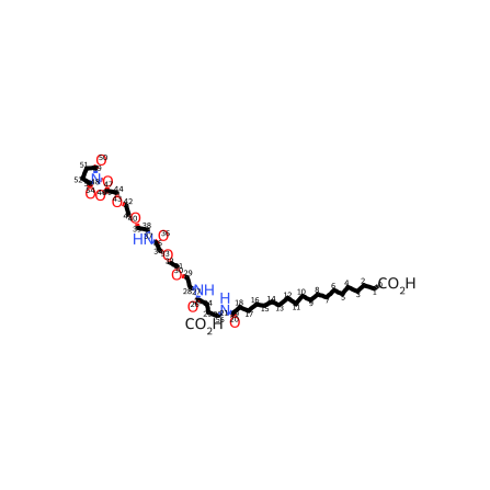 O=C(O)CCCCCCCCCCCCCCCCCCC(=O)NC(CCC(=O)NCCOCCOCC(=O)NCCOCCOCC(=O)ON1C(=O)CCC1=O)C(=O)O